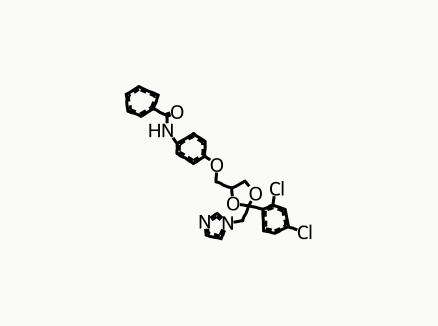 O=C(Nc1ccc(OCC2COC(Cn3ccnc3)(c3ccc(Cl)cc3Cl)O2)cc1)c1ccccc1